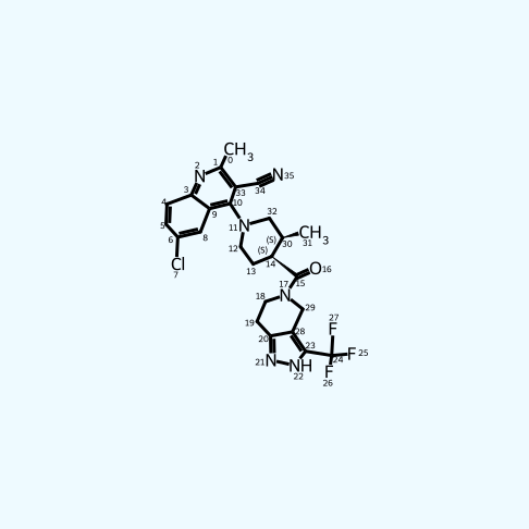 Cc1nc2ccc(Cl)cc2c(N2CC[C@H](C(=O)N3CCc4n[nH]c(C(F)(F)F)c4C3)[C@H](C)C2)c1C#N